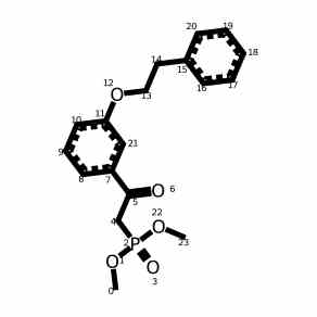 COP(=O)(CC(=O)c1cccc(OCCc2ccccc2)c1)OC